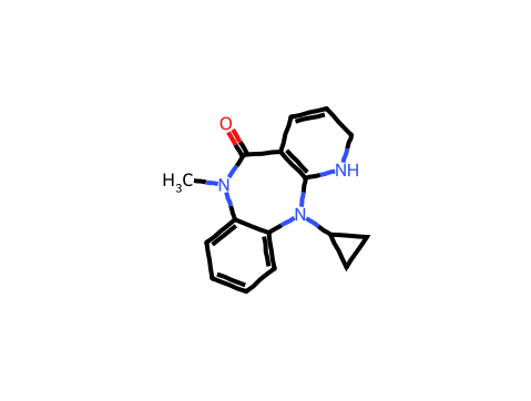 CN1C(=O)C2=C(NCC=C2)N(C2CC2)c2ccccc21